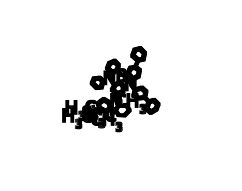 CC12CCCCC1(C)N(c1cc3c4c(c1)N(c1ccc(-c5ccccc5)cc1)c1ccc(-c5ccccc5)cc1B4c1ccccc1N3c1ccccc1)c1ccc([Si](C)(C)C)cc12